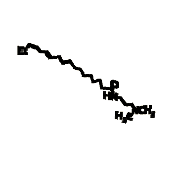 CC/C=C\CC=CCC=CCCCCCCCC(=O)NCCCN(C)C